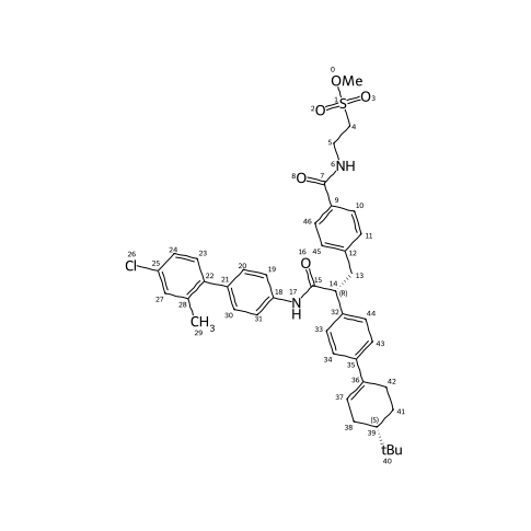 COS(=O)(=O)CCNC(=O)c1ccc(C[C@@H](C(=O)Nc2ccc(-c3ccc(Cl)cc3C)cc2)c2ccc(C3=CC[C@@H](C(C)(C)C)CC3)cc2)cc1